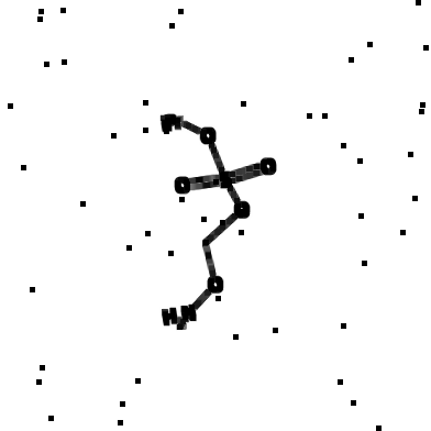 CC(C)OS(=O)(=O)OCON